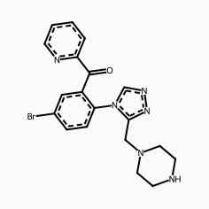 O=C(c1ccccn1)c1cc(Br)ccc1-n1cnnc1CN1CCNCC1